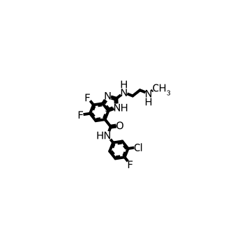 CNCCNc1nc2c(F)c(F)cc(C(=O)Nc3ccc(F)c(Cl)c3)c2[nH]1